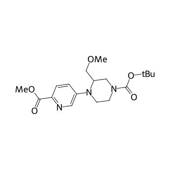 COCC1CN(C(=O)OC(C)(C)C)CCN1c1ccc(C(=O)OC)nc1